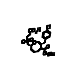 CC(C)(C)OC(=O)C1CCC[C@H](CS(=O)(=O)CCC(=O)O)OC[C@@H]1Cc1ccc(Cl)cc1